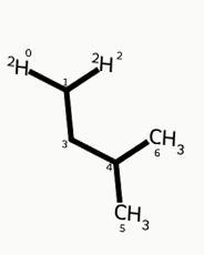 [2H]C([2H])CC(C)C